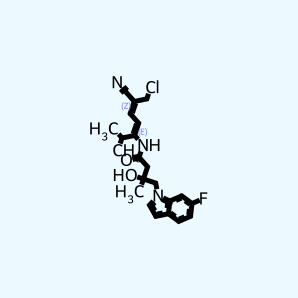 CC(C)/C(=C\C=C(\C#N)CCl)NC(=O)CC(C)(O)Cn1ccc2ccc(F)cc21